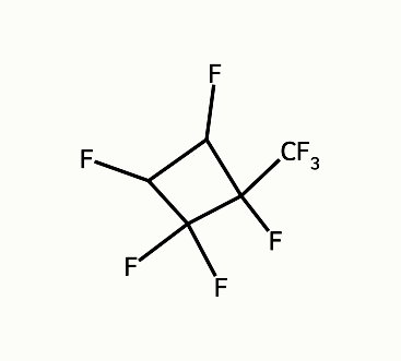 FC1C(F)C(F)(C(F)(F)F)C1(F)F